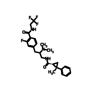 CN(C)C(CNC(=O)[C@@H]1C[C@]1(C)c1ccccc1)Cc1ccc(C(=O)NCC(F)(F)F)c(F)c1